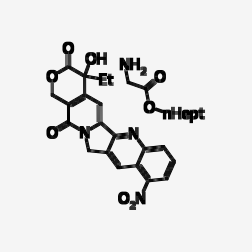 CCC1(O)C(=O)OCc2c1cc1n(c2=O)Cc2cc3c([N+](=O)[O-])cccc3nc2-1.CCCCCCCOC(=O)CN